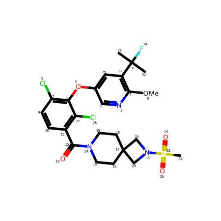 COc1ncc(Oc2c(Cl)ccc(C(=O)N3CCC4(CC3)CN(S(C)(=O)=O)C4)c2Cl)cc1C(C)(C)F